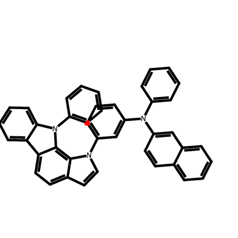 c1ccc(N(c2cccc(-n3ccc4ccc5c6ccccc6n(-c6ccccc6)c5c43)c2)c2ccc3ccccc3c2)cc1